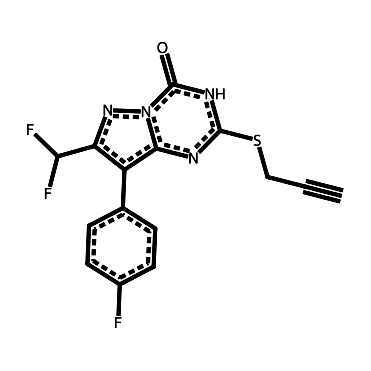 C#CCSc1nc2c(-c3ccc(F)cc3)c(C(F)F)nn2c(=O)[nH]1